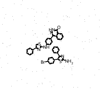 Nc1nc(-c2ccccc2)c(-c2ccc(Br)cc2)s1.O=c1[nH]nc(-c2ccc(Nc3nc(-c4ccccc4)cs3)cc2)c2ccccc12